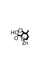 Cc1ccnc(C(=O)O)c1Cl.[Zn]